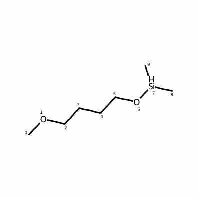 COCCCCO[SiH](C)C